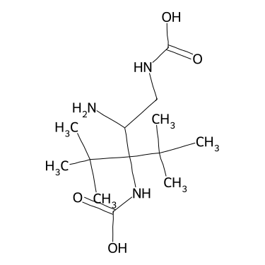 CC(C)(C)C(NC(=O)O)(C(N)CNC(=O)O)C(C)(C)C